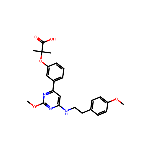 COc1ccc(CCNc2cc(-c3cccc(OC(C)(C)C(=O)O)c3)nc(OC)n2)cc1